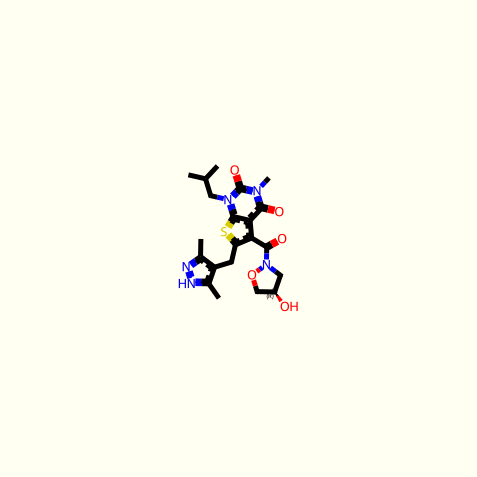 Cc1n[nH]c(C)c1Cc1sc2c(c1C(=O)N1C[C@@H](O)CO1)c(=O)n(C)c(=O)n2CC(C)C